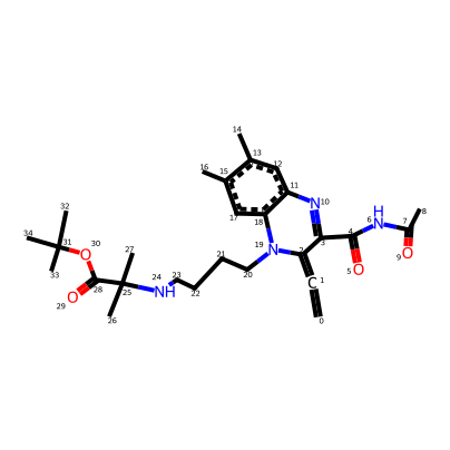 C=C=C1C(C(=O)NC(C)=O)=Nc2cc(C)c(C)cc2N1CCCCNC(C)(C)C(=O)OC(C)(C)C